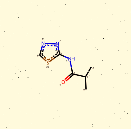 CC(C)C(=O)Nc1nncs1